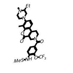 CCC1CN(c2ccc3c4c(c(=O)oc3c2C)CN(C(=O)c2ccc(NSC)c(OC(F)(F)F)c2)CC4)CCN1C